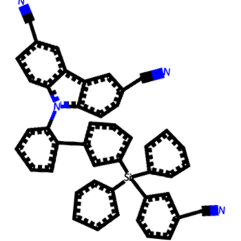 N#Cc1cccc([Si](c2ccccc2)(c2ccccc2)c2cccc(-c3ccccc3-n3c4ccc(C#N)cc4c4cc(C#N)ccc43)c2)c1